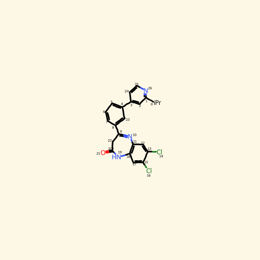 CC(C)c1cc(-c2cccc(C3=Nc4cc(Cl)c(Cl)cc4NC(=O)C3)c2)ccn1